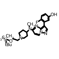 CN(c1ccn2ncc(-c3cc(O)ccc3F)c2n1)C1CCN(CCO[Si](C)(C)C(C)(C)C)CC1